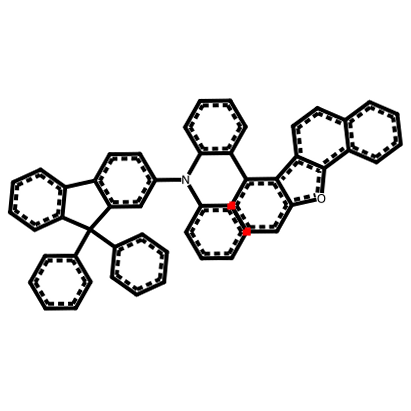 c1ccc(N(c2ccc3c(c2)C(c2ccccc2)(c2ccccc2)c2ccccc2-3)c2ccccc2-c2cccc3oc4c5ccccc5ccc4c23)cc1